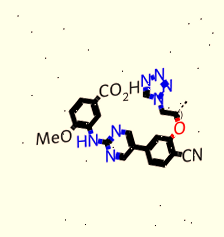 COc1ccc(C(=O)O)cc1Nc1ncc(-c2ccc(C#N)c(O[C@@H](C)Cn3cnnn3)c2)cn1